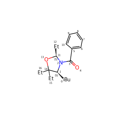 CCC(C)[C@@H]1N(C(=O)c2ccccc2)[C@H](CC)OC1(CC)CC